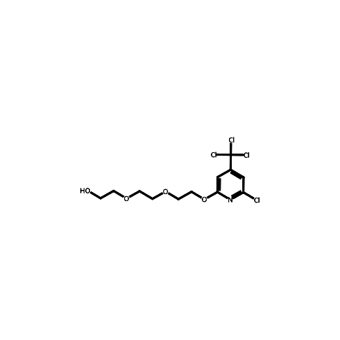 OCCOCCOCCOc1cc(C(Cl)(Cl)Cl)cc(Cl)n1